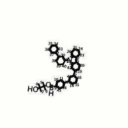 CC(C)(O)C(C)(C)OBc1ccc(-c2cccc(-c3ccc4c5ccccc5n(C5=CC(c6ccccc6)=CCC5)c4c3)c2)cc1